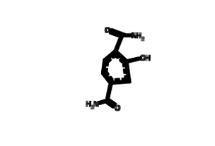 NC(=O)c1ccc(C(N)=O)c(O)c1